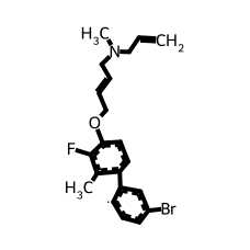 C=CCN(C)C/C=C/COc1ccc(-c2[c]ccc(Br)c2)c(C)c1F